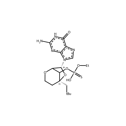 CCOP(O)(=S)OC1C2OCC[C@]1(CC(C)(C)C)O[C@H]2n1cnc2c(=O)[nH]c(N)nc21